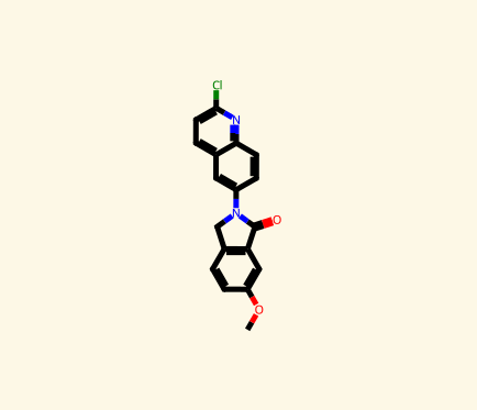 COc1ccc2c(c1)C(=O)N(c1ccc3nc(Cl)ccc3c1)C2